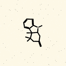 C=C1CC2N(C)c3ccccc3C2(C)C(C)(C)C1